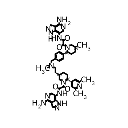 Cc1cc([C@H]2CC[C@H](CCN(C)Cc3ccc([C@H]4CC[C@H](C)CN4C(=O)C(=O)Nc4cnc(N)c5cn[nH]c45)cc3)CN2C(=O)C(=O)Nc2cnc(N)c3cn[nH]c23)cc(C)n1